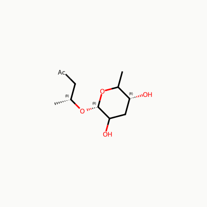 CC(=O)C[C@@H](C)O[C@@H]1OC(C)[C@H](O)CC1O